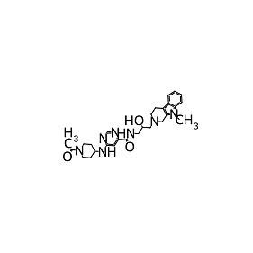 CC(=O)N1CCC(Nc2cc(C(=O)NCC(O)CN3CCc4c(n(C)c5ccccc45)C3)ncn2)CC1